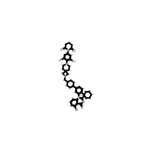 O=C1CCCC(=O)N1c1cc(F)c(N2CCC3(CC2)CN(CC2CCC(c4ccc5c(c4)-n4c(nc(=O)c6c(Br)cccc64)C54CCCCC4)CC2)C3)c(F)c1